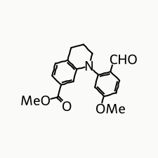 COC(=O)c1ccc2c(c1)N(c1cc(OC)ccc1C=O)CCC2